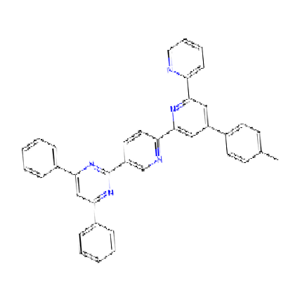 Cc1ccc(-c2cc(-c3ccccn3)nc(-c3ccc(-c4nc(-c5ccccc5)cc(-c5ccccc5)n4)cn3)c2)cc1